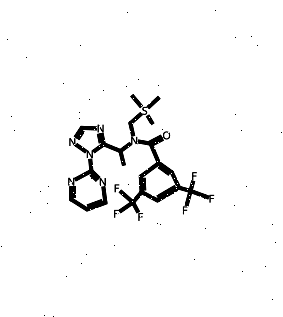 CC(c1ncnn1-c1ncccn1)N(CS(C)(C)C)C(=O)c1cc(C(F)(F)F)cc(C(F)(F)F)c1